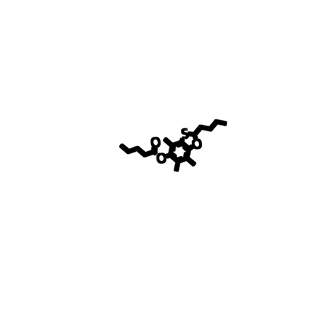 CCCCC(=O)Oc1c(C)c(C)c2c(c1C)SC(CCCC)O2